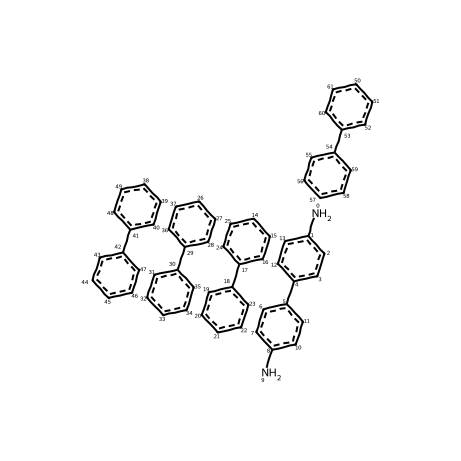 Nc1ccc(-c2ccc(N)cc2)cc1.c1ccc(-c2ccccc2)cc1.c1ccc(-c2ccccc2)cc1.c1ccc(-c2ccccc2)cc1.c1ccc(-c2ccccc2)cc1